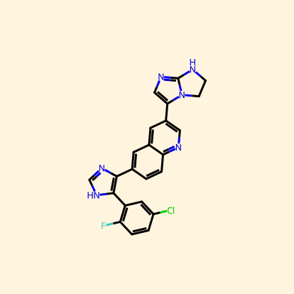 Fc1ccc(Cl)cc1-c1[nH]cnc1-c1ccc2ncc(-c3cnc4n3CCN4)cc2c1